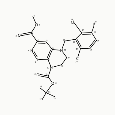 COC(=O)c1cc2c(nn1)N(C(=O)OC(C)(C)C)CCN2Cc1c(Cl)ccc(F)c1Cl